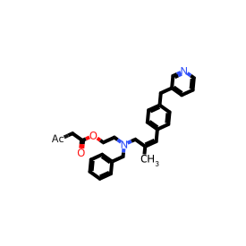 CC(=O)CC(=O)OCCN(CC(C)=Cc1ccc(Cc2cccnc2)cc1)Cc1ccccc1